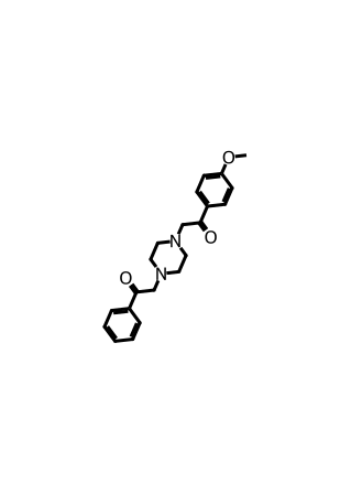 COc1ccc(C(=O)CN2CCN(CC(=O)c3ccccc3)CC2)cc1